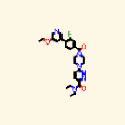 CCOc1cncc(-c2ccc(C(=O)N3CCN(c4ccc(C(=O)N(CC)CC)nn4)CC3)cc2F)c1